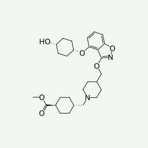 COC(=O)[C@H]1CC[C@H](CN2CCC(COc3noc4cccc(O[C@H]5CC[C@@H](O)CC5)c34)CC2)CC1